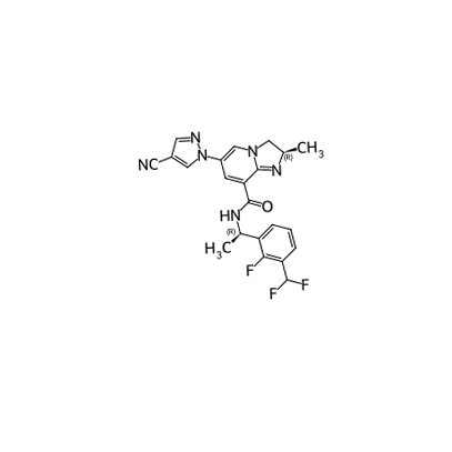 C[C@@H]1CN2C=C(n3cc(C#N)cn3)C=C(C(=O)N[C@H](C)c3cccc(C(F)F)c3F)C2=N1